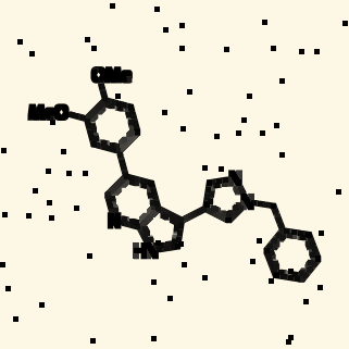 COc1ccc(-c2cnc3[nH]cc(-c4cnn(Cc5ccccc5)c4)c3c2)cc1OC